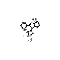 Nc1ncnc2c1nc(-c1ccncc1)n2[C@@H]1O[C@H](CO)[C@@H](O)[C@H]1O